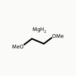 COCCOC.[MgH2]